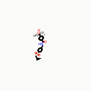 CCCC(O)(c1ccc(C(=O)NCc2ccc(S(=O)(=O)CC3CC3)cc2)cc1)C(F)(F)F